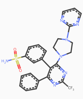 NS(=O)(=O)c1cccc(-c2c(-c3ccccc3)nc(C(F)(F)F)nc2N2CCN(c3ncccn3)CC2)c1